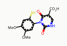 COc1cc(S)c(-n2c(=O)[nH]cc(C(=O)O)c2=O)cc1OC